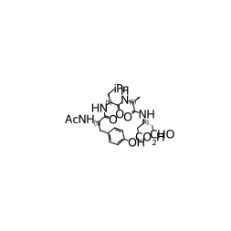 CC(=O)N[C@@H](Cc1ccc(O)cc1)C(=O)N[C@@H](CC(C)C)C(=O)N[C@@H](C)C(=O)N[C@H](CC=O)CC(=O)O